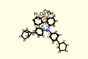 C[SH]1(C)(C)c2ccccc2-c2c(N(c3ccc(C4CCCCC4)cc3)c3ccc(C4CC5CCC4C5)cc3)cccc21